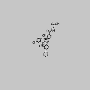 CC(N/C(=C/[N+](=O)[O-])N(Cc1ccc(C(=O)NCCC(=O)O)cc1)c1ccc(C2CCCCC2)cc1)c1ccc(Cl)cc1